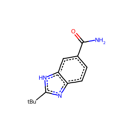 CC(C)(C)c1nc2ccc(C(N)=O)cc2[nH]1